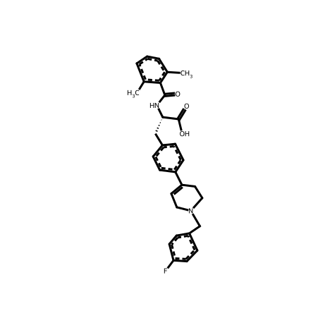 Cc1cccc(C)c1C(=O)N[C@@H](Cc1ccc(C2=CCN(Cc3ccc(F)cc3)CC2)cc1)C(=O)O